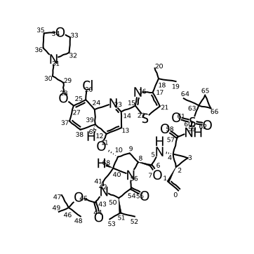 C=C[C@@H]1C[C@]1(NC(=O)[C@@H]1C[C@@H](OC2=CC(c3nc(C(C)C)cs3)=NC3C(Cl)=C(OCCN4CCOCC4)C=C[C@H]23)[C@H]2CN(C(=O)OC(C)(C)C)[C@H](C(C)C)C(=O)N21)C(=O)NS(=O)(=O)C1(C)CC1